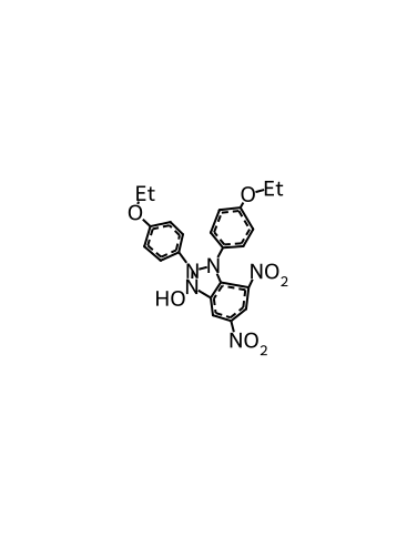 CCOc1ccc(N2c3c(cc([N+](=O)[O-])cc3[N+](=O)[O-])N(O)N2c2ccc(OCC)cc2)cc1